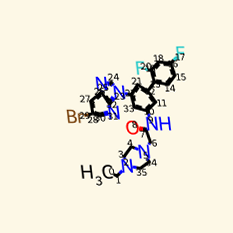 CCN1CCN(CC(=O)Nc2cc(-c3ccc(F)cc3F)cc(-n3cnc4cc(Br)cnc43)c2)CC1